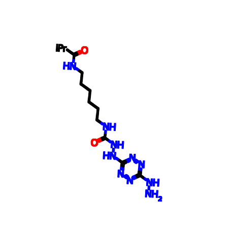 CC(C)C(=O)NCCCCCCNC(=O)NNc1nnc(NN)nn1